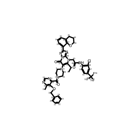 CCc1c(N2CCN(C(=O)c3ncnc(C)c3OCc3ccccc3)CC2)c(=O)n2nc(-c3cccc4c3OCCC4)nc2n1CC(=O)Nc1ccc(C(F)(F)F)cc1Cl